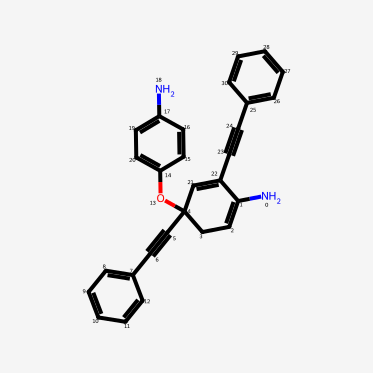 NC1=CCC(C#Cc2ccccc2)(Oc2ccc(N)cc2)C=C1C#Cc1ccccc1